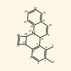 Cc1ccc2c(c1C)C1C=Cc3ccccc3N1C1C=CC21